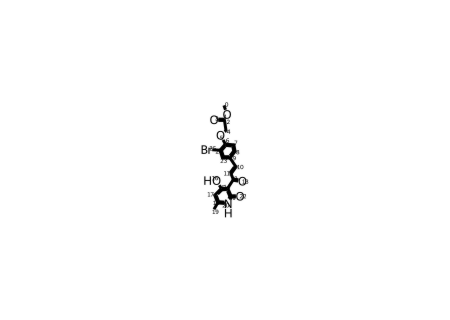 COC(=O)COc1ccc(C=CC(=O)c2c(O)cc(C)[nH]c2=O)cc1Br